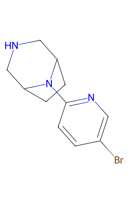 Brc1ccc(N2C3CCC2CNC3)nc1